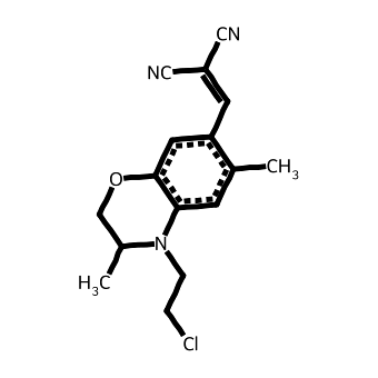 Cc1cc2c(cc1C=C(C#N)C#N)OCC(C)N2CCCl